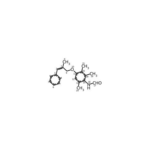 CC(=Cc1ccccc1)COc1cc(C)c(NC=O)c(C)c1C